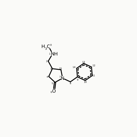 CNCC1CC(=O)N(Cc2ccccc2)C1